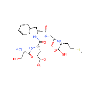 CSCC[C@H](NC(=O)CNC(=O)[C@H](Cc1ccccc1)NC(=O)[C@H](CCC(=O)O)NC(=O)[C@@H](N)CO)C(=O)O